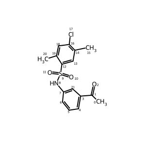 CC(=O)c1cccc(NS(=O)(=O)c2cc(C)c(Cl)cc2C)c1